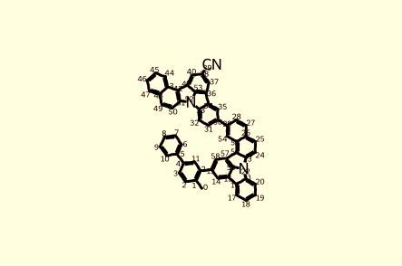 Cc1ccc(-c2ccccc2)cc1-c1cc2c3ccccc3n3c4ccc5ccc(-c6ccc7c(c6)c6cc(C#N)cc8c9c%10ccccc%10ccc9n7c68)cc5c4c(c1)c23